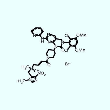 COc1cc(OC)c(Cl)c(N2Cc3cnc(Nc4ccccn4)nc3N(C3CCN(C(=O)/C=C/C[N+](C)(C)Cc4c([N+](=O)[O-])ncn4C)CC3)C2=O)c1Cl.[Br-]